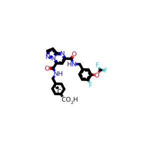 O=C(NCc1ccc(F)c(OC(F)F)c1)c1cc(C(=O)NCC23CCC(C(=O)O)(CC2)CC3)n2nccc2n1